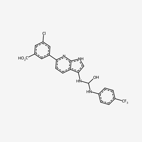 O=C(O)c1cc(Cl)cc(-c2ccc3c(NC(O)Nc4ccc(C(F)(F)F)cc4)c[nH]c3n2)c1